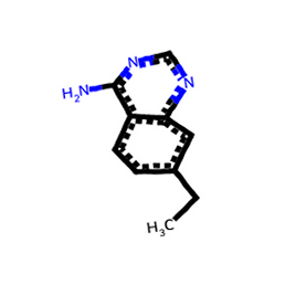 CCc1ccc2c(N)ncnc2c1